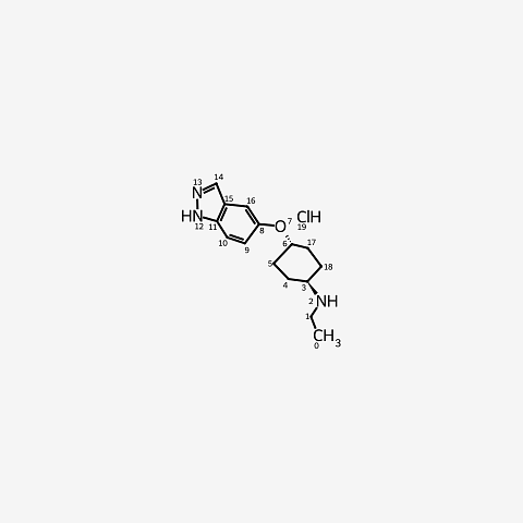 CCN[C@H]1CC[C@H](Oc2ccc3[nH]ncc3c2)CC1.Cl